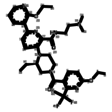 CCOc1ccc(C(=O)N2CCN(c3ccc(-c4cccnc4OCC)nc3C(=O)NCCN(C)C)[C@H](CC)C2)c(C(F)(F)F)n1